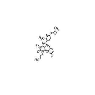 CCn1c(=O)n(CCCO)c(=O)c2c1nc(-c1ccc(OC3CCC3C)nc1C)n2Cc1ccc(F)cc1